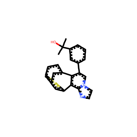 CC(C)(O)c1cccc(-c2cn3ccnc3c3c2-c2ccc4sc-3cc4c2)c1